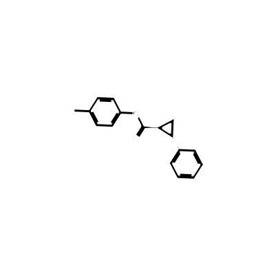 Cc1ccc(NC(=O)[C@H]2C[C@@H]2c2ccccc2)cc1